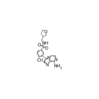 Cc1ccc(S(=O)(=O)NCC2CCOC2)cc1-c1cnc2c(N)nccn12